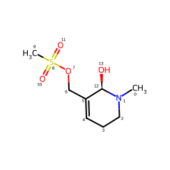 CN1CCC=C(COS(C)(=O)=O)[C@H]1O